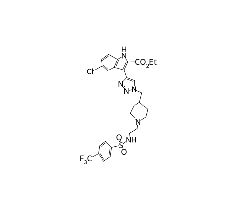 CCOC(=O)c1[nH]c2ccc(Cl)cc2c1-c1cn(CC2CCN(CCNS(=O)(=O)c3ccc(C(F)(F)F)cc3)CC2)nn1